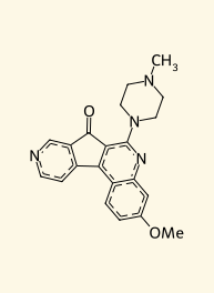 COc1ccc2c3c(c(N4CCN(C)CC4)nc2c1)C(=O)c1cnccc1-3